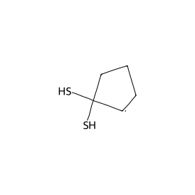 SC1(S)[CH]CCC1